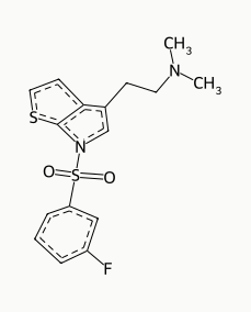 CN(C)CCc1cn(S(=O)(=O)c2cccc(F)c2)c2sccc12